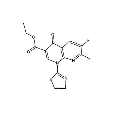 CCOC(=O)c1cn(-c2nccs2)c2nc(F)c(F)cc2c1=O